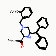 COC(=O)[C@H]1CN(Cc2ccccc2OC)CC(C(c2ccccc2)c2ccccc2)N1